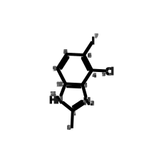 Cc1nc2c(Cl)c(I)ccc2[nH]1